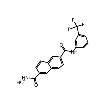 O=C(NO)c1ccc2cc(C(=O)Nc3cccc(C(F)(F)F)c3)ccc2c1